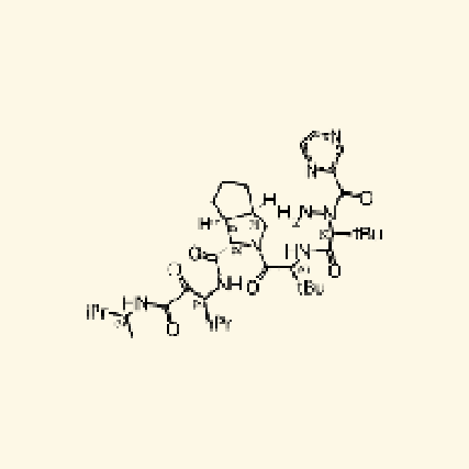 CCC[C@H](NC(=O)[C@@H]1[C@H]2CCC[C@H]2CN1C(=O)[C@@H](NC(=O)[C@@H](N(N)C(=O)c1cnccn1)C(C)(C)C)C(C)(C)C)C(=O)C(=O)N[C@@H](C)C(C)C